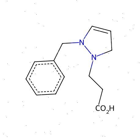 O=C(O)CCN1CC=CN1Cc1ccccc1